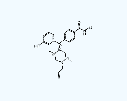 C=CCN1C[C@@H](C)N([C@H](c2ccc(C(=O)NCC)cc2)c2cccc(O)c2)C[C@@H]1C